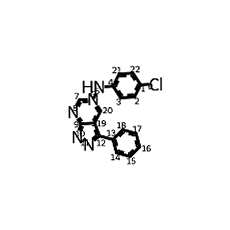 Clc1ccc(Nn2cnc3nnc(-c4ccccc4)c-3c2)cc1